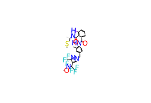 CON=C(c1cn(Cc2ccc(NC(=O)c3cccc(I)c3C(=O)N[C@@H](C)CSC)c(C)c2)nc1C(F)(F)F)C(F)(F)F